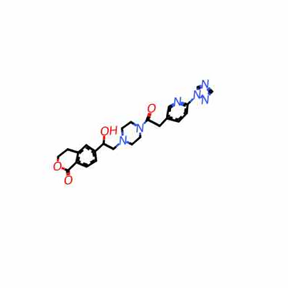 O=C1OCCc2cc(C(O)CN3CCN(C(=O)Cc4ccc(-n5cncn5)nc4)CC3)ccc21